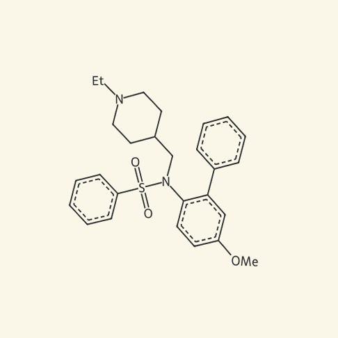 CCN1CCC(CN(c2ccc(OC)cc2-c2ccccc2)S(=O)(=O)c2ccccc2)CC1